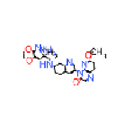 C=C(/C=C1/OCCO/C1=N/N)CNC1CCc2cc(-n3c(=O)cnc4ccc(OC)nc43)cnc2C1